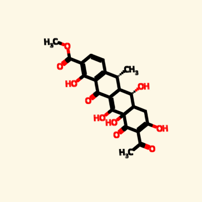 COC(=O)c1ccc2c(c1O)C(=O)C1=C(O)C3(O)C(=O)C(C(C)=O)=C(O)CC3[C@@H](O)C1[C@H]2C